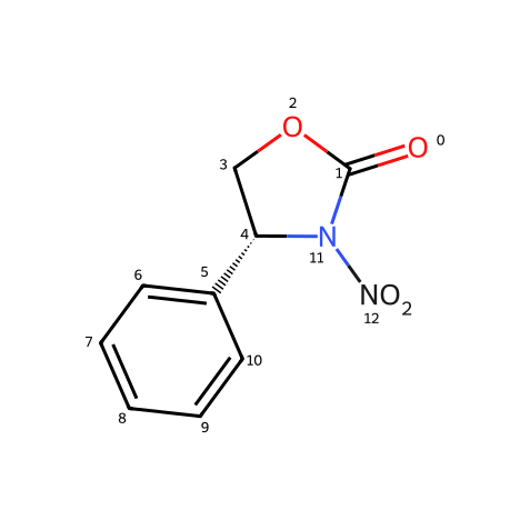 O=C1OC[C@@H](c2ccccc2)N1[N+](=O)[O-]